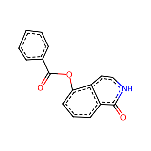 O=C(Oc1cccc2c(=O)[nH]ccc12)c1ccccc1